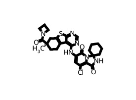 C[C@@]1(C(=O)N2CCC2)CCc2c(sc3ncnc(Nc4cc(Cl)c5n(c4=O)C4(CCCCC4)NC5=O)c23)C1